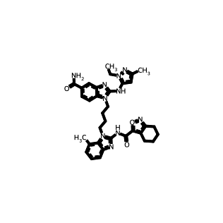 CCn1nc(C)cc1Nc1nc2cc(C(N)=O)ccc2n1CCCCn1c(NC(=O)c2onc3c2CCCC3)nc2cccc(C)c21